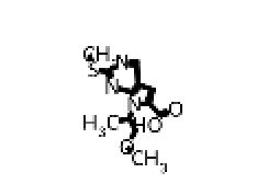 COCC(C)n1c(C(=O)O)cc2cnc(SC)nc21